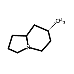 C[C@@H]1CCN2CCCC2C1